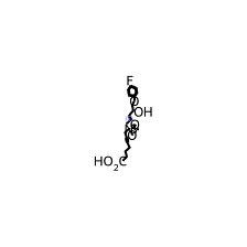 CS(=O)(=O)N(CC#CCCCC(=O)O)C/C=C/C(O)COc1ccc(F)cc1